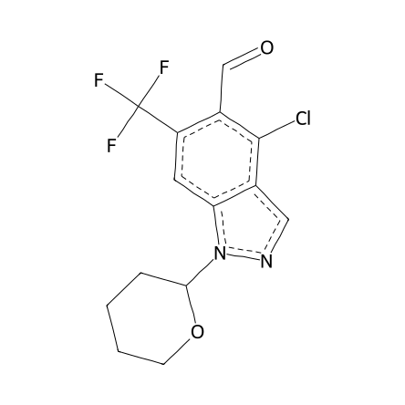 O=Cc1c(C(F)(F)F)cc2c(cnn2C2CCCCO2)c1Cl